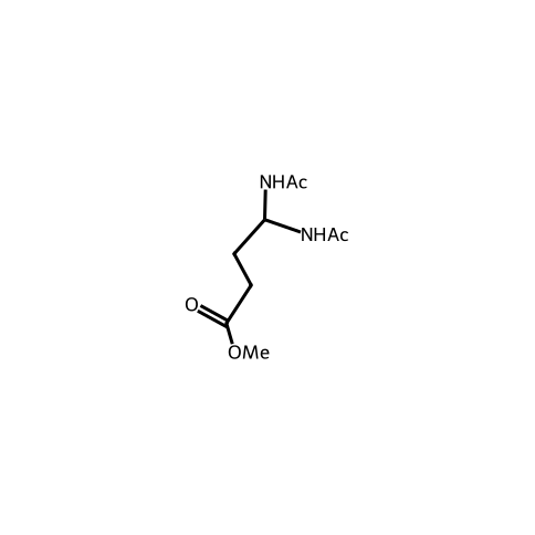 COC(=O)CCC(NC(C)=O)NC(C)=O